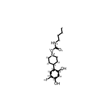 CCCCNC(=O)ON1CCC(c2cc(F)c(O)cc2O)CC1